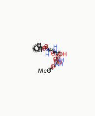 COCCOCCNS(=O)(=O)NC(=O)OC[C@H](CO)NC(=O)CCCNC(=O)OC[C@@H]1[C@@H]2CCC#CCC[C@@H]21